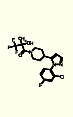 CC(O)(C(=O)N1CCC(c2ccnn2-c2ccc(F)cc2Cl)CC1)C(F)(F)F